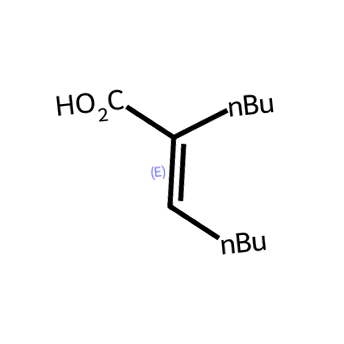 CCCC/C=C(\CCCC)C(=O)O